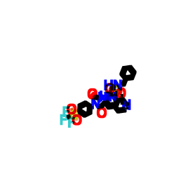 CC1(Cc2ccncc2NS(=O)(=O)NCc2ccccc2)NC(=O)N(c2ccc(S(=O)(=O)C(F)(F)F)cc2)C1=O